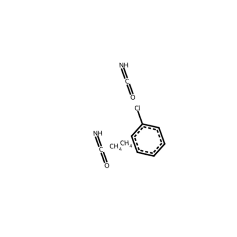 C.C.Clc1ccccc1.N=C=O.N=C=O